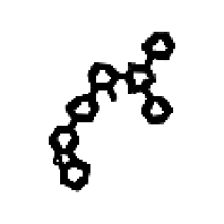 Cc1c(-c2ccc(-c3ccc4oc5ccccc5c4c3)cc2)cccc1-c1nc(-c2ccccc2)nc(-c2ccccc2)n1